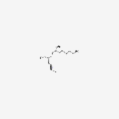 C=C(CCC(C)=O)CCN(CCC)CCC(C/C=C/C)CCC